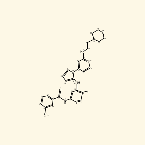 Cc1ccc(NC(=O)c2cccc(C(F)(F)F)c2)cc1Nc1nccn1-c1ccnc(NCCN2CCOCC2)c1